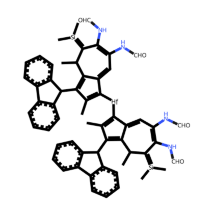 CC1=[C]([Hf][C]2=C(C)C(C3c4ccccc4-c4ccccc43)=C3C2=CC(NC=O)=C(NC=O)C(=[Si](C)C)C3C)C2=CC(NC=O)=C(NC=O)C(=[Si](C)C)C(C)C2=C1C1c2ccccc2-c2ccccc21